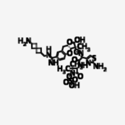 CC1(C)[C@H](NC(=O)/C(=N\O[C@](C)(C(=O)O)[C@H]2CCc3cc(C(=N)NCC4CC5(CC(N)C5)C4)ccc3O2)c2csc(N)n2)C(=O)N1OS(=O)(=O)O